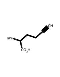 C#CCCC(CCC)C(=O)O